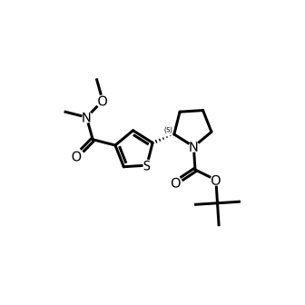 CON(C)C(=O)c1csc([C@@H]2CCCN2C(=O)OC(C)(C)C)c1